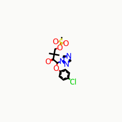 CC(C)(COS(C)(=O)=O)C(=O)C(Oc1ccc(Cl)cc1)n1cncn1